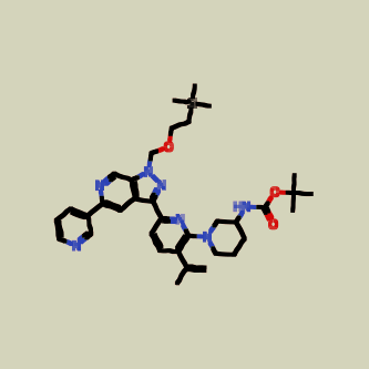 C=C(C)c1ccc(-c2nn(COCC[Si](C)(C)C)c3cnc(-c4cccnc4)cc23)nc1N1CCCC(NC(=O)OC(C)(C)C)C1